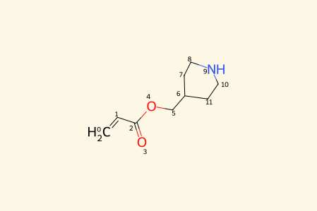 C=CC(=O)OCC1CCNCC1